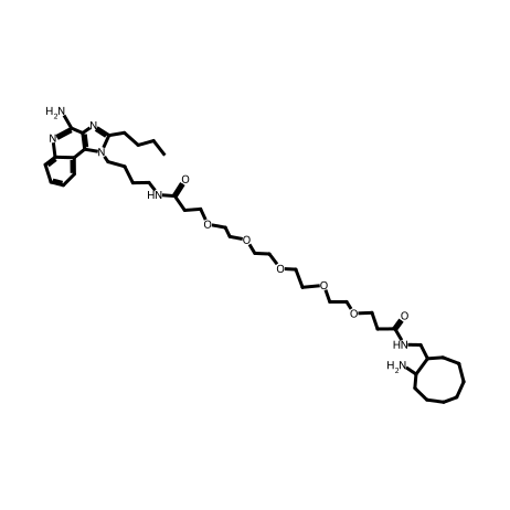 CCCCc1nc2c(N)nc3ccccc3c2n1CCCCNC(=O)CCOCCOCCOCCOCCOCCC(=O)NCC1CCCCCCCC1N